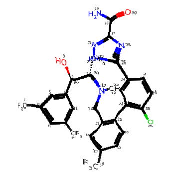 C[C@@H]([C@H](O)c1cc(C(F)(F)F)cc(C(F)(F)F)c1)N(C=O)Cc1cc(C(F)(F)F)ccc1-c1cc(-c2nc(C(N)=O)n[nH]2)ccc1Cl